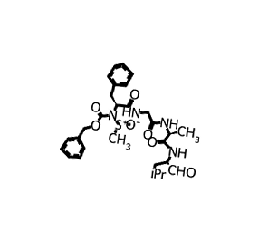 CC(C)C[C@@H](C=O)NC(=O)[C@H](C)NC(=O)CNC(=O)[C@H](Cc1ccccc1)N(C(=O)OCc1ccccc1)[S+](C)[O-]